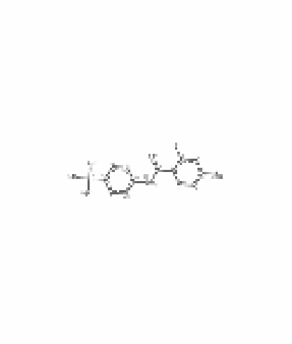 Cc1cc(Br)ccc1C(=O)Nc1ccc(C(F)(F)F)cc1